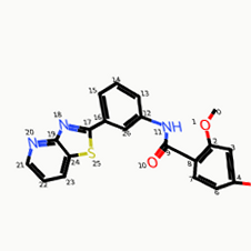 COc1cc(O)ccc1C(=O)Nc1cccc(-c2nc3ncccc3s2)c1